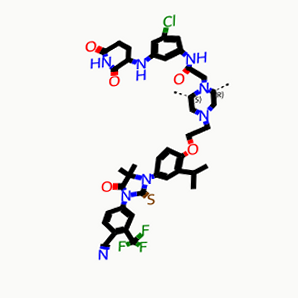 CC(C)c1cc(N2C(=S)N(c3ccc(C#N)c(C(F)(F)F)c3)C(=O)C2(C)C)ccc1OCCN1C[C@@H](C)N(CC(=O)Nc2cc(Cl)cc(NC3CCC(=O)NC3=O)c2)[C@@H](C)C1